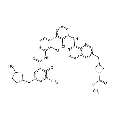 COC(=O)C1CN(Cc2cnc3c(Nc4cccc(-c5cccc(NC(=O)c6cc(CN7CCC(O)C7)cn(C)c6=O)c5Cl)c4Cl)nccc3c2)C1